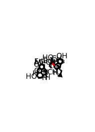 CCOc1ccc2c3c1O[C@H]1[C@@H](O)C=C[C@H]4[C@@H](C2)N(C)CC[C@@]341.CO[C@@]12CC[C@@]3(C[C@@H]1[C@](C)(O)C(C)(C)C)[C@H]1Cc4ccc(O)c5c4[C@@]3(CCN1CC1CC1)[C@H]2O5